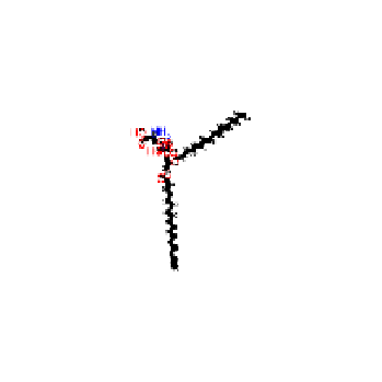 CCCCCCCCCCCCCCCCCC(=O)OCC(COP(=O)(O)OCC(N)C(=O)O)OC(=O)CCCCCCCCCCCCCCC